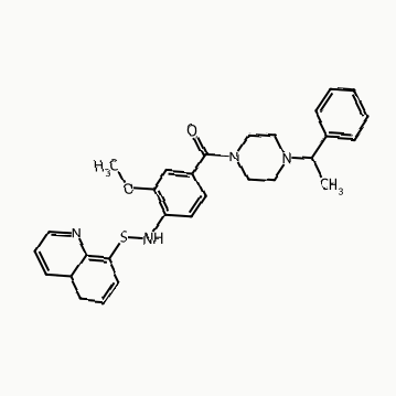 COc1cc(C(=O)N2CCN(C(C)c3ccccc3)CC2)ccc1NSC1=C2N=CC=CC2CC=C1